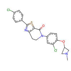 CN1CC(Oc2ccc(N3CCc4nc(-c5ccc(Cl)cc5)sc4C3=O)cc2Cl)C1